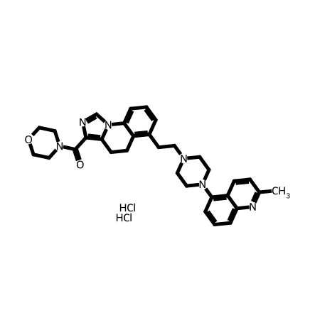 Cc1ccc2c(N3CCN(CCc4cccc5c4CCc4c(C(=O)N6CCOCC6)ncn4-5)CC3)cccc2n1.Cl.Cl